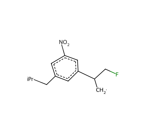 [CH2]C(CF)c1cc(CC(C)C)cc([N+](=O)[O-])c1